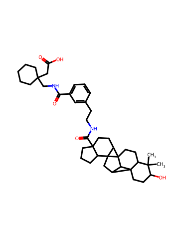 CC1(C)C(O)CCC23C4CC56C7CCCC7(C(=O)NCCc7cccc(C(=O)NCC8(CC(=O)O)CCCCC8)c7)CCC5C6(CCC12)C43